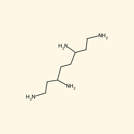 NCCC(N)CCC(N)CCN